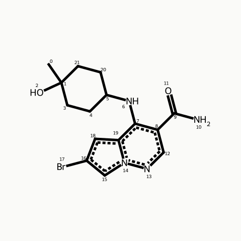 CC1(O)CCC(Nc2c(C(N)=O)cnn3cc(Br)cc23)CC1